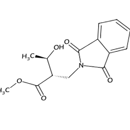 COC(=O)[C@@H](CN1C(=O)c2ccccc2C1=O)[C@@H](C)O